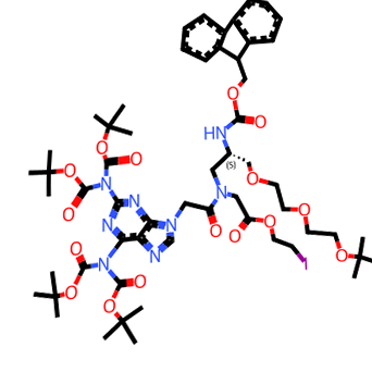 CC(C)(C)OCCOCCOC[C@H](CN(CC(=O)OCCI)C(=O)Cn1cnc2c(N(C(=O)OC(C)(C)C)C(=O)OC(C)(C)C)nc(N(C(=O)OC(C)(C)C)C(=O)OC(C)(C)C)nc21)NC(=O)OCC1c2ccccc2-c2ccccc21